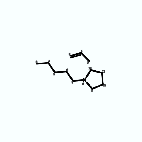 C=CC.CCCCCN1CCCC1